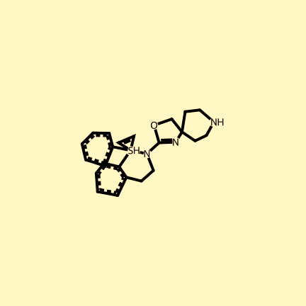 C1=C[SH]12(c1ccccc1)c1ccccc1CCN2C1=NC2(CCNCC2)CO1